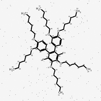 CCCCCCOc1ccc(-c2c(F)c(OCCCCCC)c(OCCCCCC)c(F)c2-c2ccc(OCCCCCC)c(OCCCCCC)c2)cc1OCCCCCC